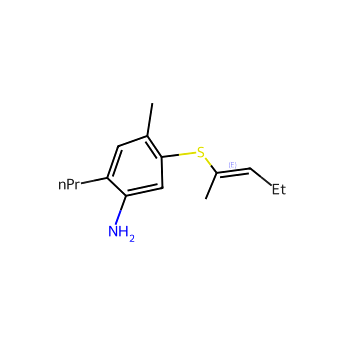 CC/C=C(\C)Sc1cc(N)c(CCC)cc1C